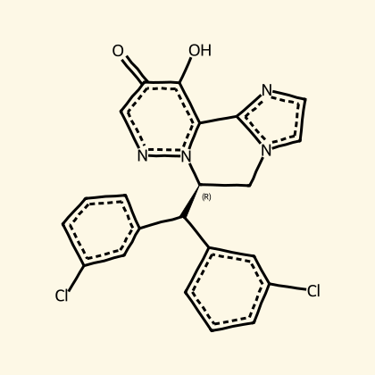 O=c1cnn2c(c1O)-c1nccn1C[C@H]2C(c1cccc(Cl)c1)c1cccc(Cl)c1